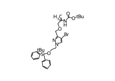 C[C@H](COCc1nn(CCO[Si](c2ccccc2)(c2ccccc2)C(C)(C)C)cc1Br)NC(=O)OC(C)(C)C